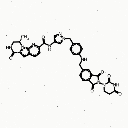 C[C@@H]1CNC(=O)c2cc3ccc(C(=O)Nc4cnn(Cc5ccc(NCc6ccc7c(c6)C(=O)N(N6CCC(=O)NC6=O)C7=O)cc5)c4)nc3n21